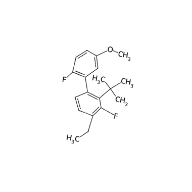 CCc1ccc(-c2cc(OC)ccc2F)c(C(C)(C)C)c1F